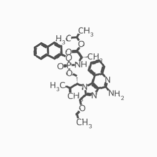 CCOCc1nc2c(N)nc3ccccc3c2n1[C@@H](COP(=O)(N[C@@H](C)C(=O)OC(C)C)Oc1ccc2ccccc2c1)C(C)C